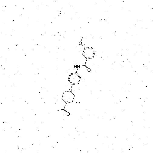 COc1cccc(C(=O)Nc2ccc(N3CCN(C(C)=O)CC3)cc2)c1